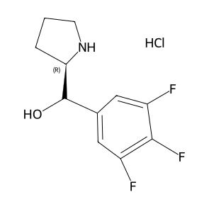 Cl.OC(c1cc(F)c(F)c(F)c1)[C@H]1CCCN1